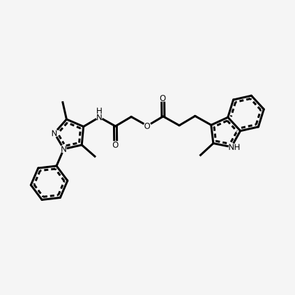 Cc1nn(-c2ccccc2)c(C)c1NC(=O)COC(=O)CCc1c(C)[nH]c2ccccc12